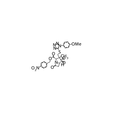 COc1ccc(-n2nnnc2SC[C@@]2(C)[C@H](C(=O)OCc3ccc([N+](=O)[O-])cc3)N3C(=O)C[C@@H]3S2(=O)=O)cc1